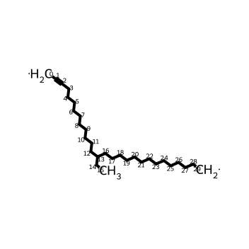 [CH2]C#CCCCCCCCCCCC(CC)CCCCCCCCCCCCC[CH2]